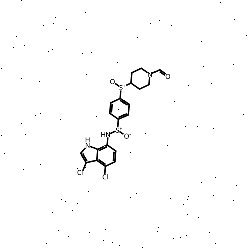 O=CN1CCC([S+]([O-])c2ccc([S+]([O-])Nc3ccc(Cl)c4c(Cl)c[nH]c34)cc2)CC1